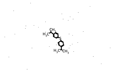 CC(C)c1ccc(Sc2ccc(C(C)C)cc2)cc1